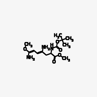 COC(=O)C(C/C(N)=C/C=C(\N)OC)NC(=O)OC(C)(C)C